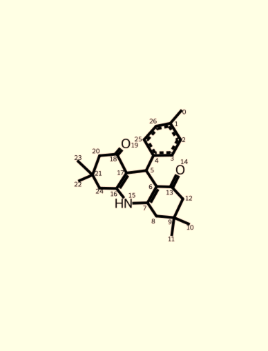 Cc1ccc(C2C3=C(CC(C)(C)CC3=O)NC3=C2C(=O)CC(C)(C)C3)cc1